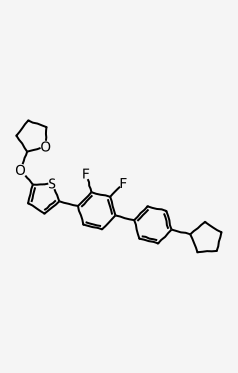 Fc1c(-c2ccc(C3CCCC3)cc2)ccc(-c2ccc(OC3CCCO3)s2)c1F